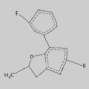 [CH2]C1Cc2cc(F)cc(-c3cccc(F)c3)c2O1